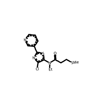 CCN(C(=O)CCSC)c1sc(-c2cccnc2)nc1Cl